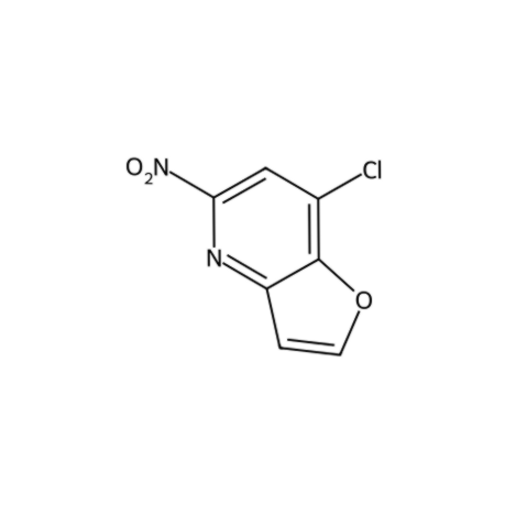 O=[N+]([O-])c1cc(Cl)c2occc2n1